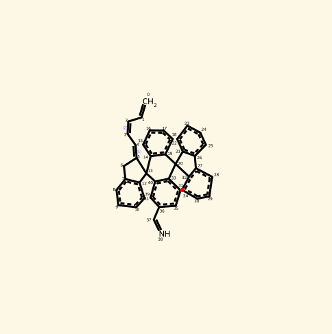 C=C/C=C\C=C1/Cc2ccccc2C12c1ccccc1C1(c3ccccc3-c3ccccc31)c1ccc(C=N)cc12